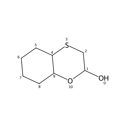 OC1CSC2CCCCC2O1